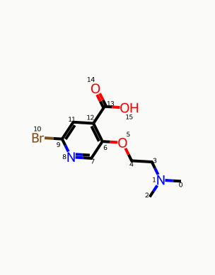 CN(C)CCOc1cnc(Br)cc1C(=O)O